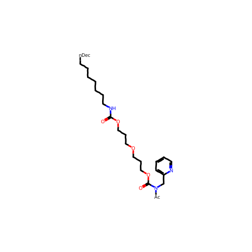 CCCCCCCCCCCCCCCCCNC(=O)OCCCOCCCOC(=O)N(Cc1ccccn1)C(C)=O